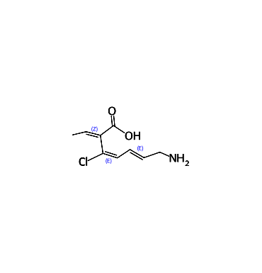 C\C=C(C(=O)O)/C(Cl)=C\C=C\CN